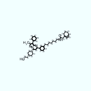 Cc1nn2c(N3CCN(CCO)CC3)cc(-c3cccc(CCCCCCCNC(=O)CC45CCCC(CC4)C5)c3)nc2c1-c1ccccc1